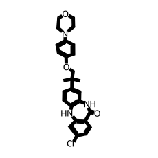 CC(C)(COc1ccc(N2CCOCC2)cc1)c1ccc2c(c1)NC(=O)c1ccc(Cl)cc1N2